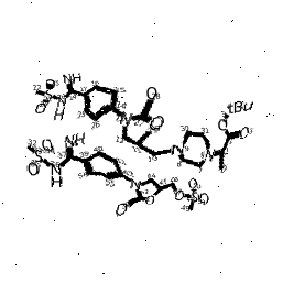 CC(C(=O)OC(C)(C)C)N1CCN(CC2CN(c3ccc(C(=N)NS(C)(=O)=O)cc3)C(=O)O2)CC1.CS(=O)(=O)NC(=N)c1ccc(N2CC(COS(C)(=O)=O)OC2=O)cc1